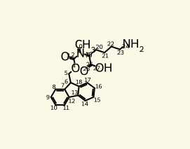 CN(C(=O)OCC1c2ccccc2-c2ccccc21)[C@@H](CCCCN)C(=O)O